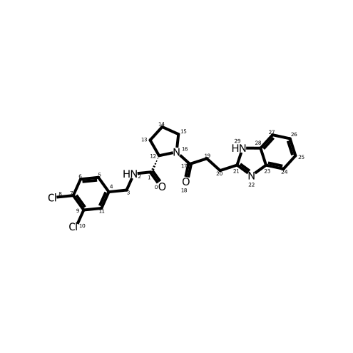 O=C(NCc1ccc(Cl)c(Cl)c1)[C@@H]1CCCN1C(=O)CCc1nc2ccccc2[nH]1